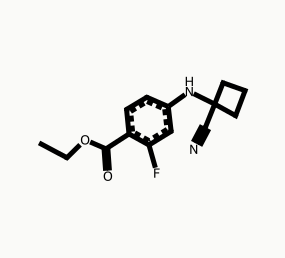 CCOC(=O)c1ccc(NC2(C#N)CCC2)cc1F